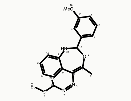 CCSC(C)/N=N\C1=C(C)OC(c2cccc(OC)c2)Nc2ccccc21